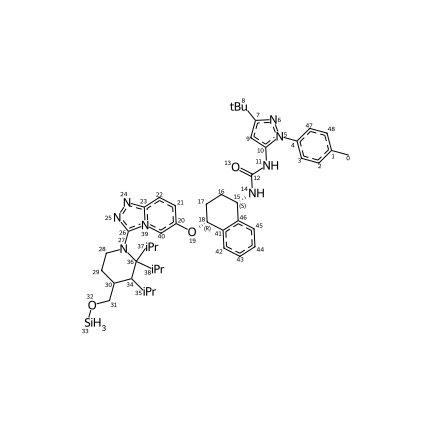 Cc1ccc(-n2nc(C(C)(C)C)cc2NC(=O)N[C@H]2CC[C@@H](Oc3ccc4nnc(N5CCC(CO[SiH3])C(C(C)C)C5(C(C)C)C(C)C)n4c3)c3ccccc32)cc1